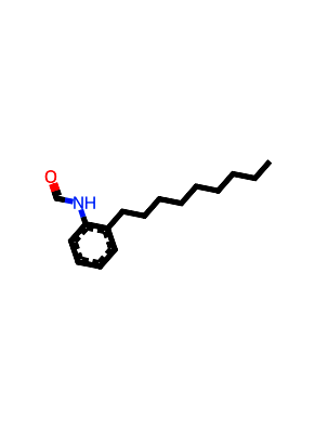 CCCCCCCCCc1ccccc1NC=O